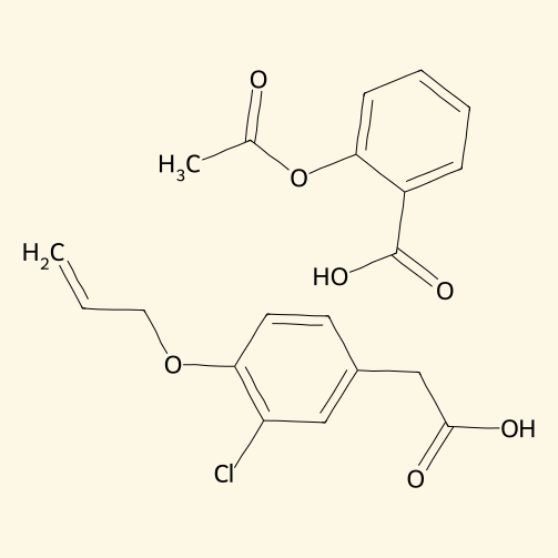 C=CCOc1ccc(CC(=O)O)cc1Cl.CC(=O)Oc1ccccc1C(=O)O